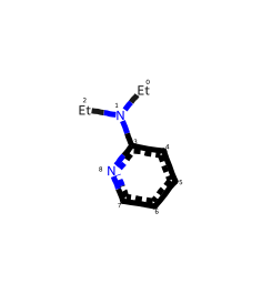 CCN(CC)c1c[c]ccn1